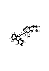 CCCC[C@H](NC(=O)OCC1c2ccccc2-c2ccccc21)C(=O)OC